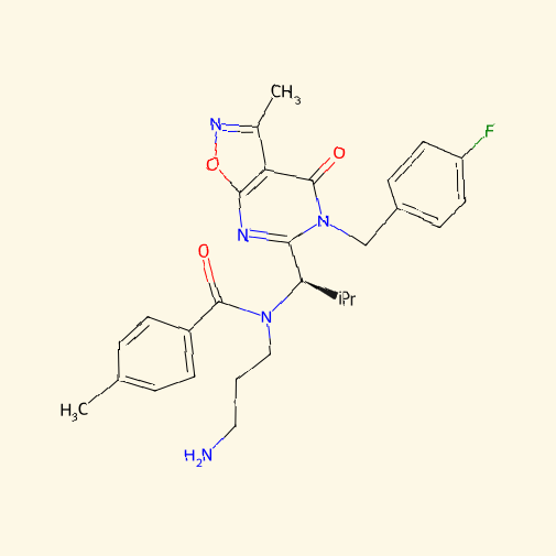 Cc1ccc(C(=O)N(CCCN)[C@@H](c2nc3onc(C)c3c(=O)n2Cc2ccc(F)cc2)C(C)C)cc1